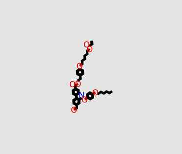 C=CC(=O)OCCCCCCOc1ccc(CCOC(=O)c2ccc3c(c2)nc(Oc2ccc(OCCCCCC)cc2)c2cc(C=O)ccc23)cc1